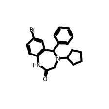 O=C1CN(C2CCCC2)C(c2ccccc2)c2cc(Br)ccc2N1